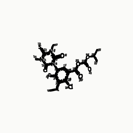 CCc1c(F)c(-n2c(=O)n(C)c(=S)n(C)c2=O)cc(C(=O)OC(=O)OC(C)C)c1Cl